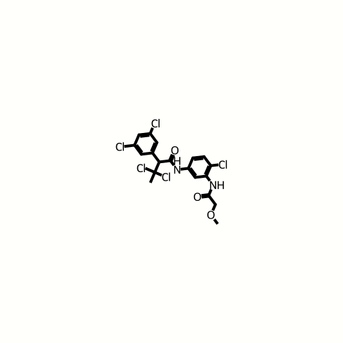 COCC(=O)Nc1cc(NC(=O)C(c2cc(Cl)cc(Cl)c2)C(C)(Cl)Cl)ccc1Cl